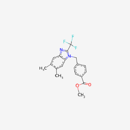 COC(=O)c1ccc(Cn2c(C(F)(F)F)nc3cc(C)c(C)cc32)cc1